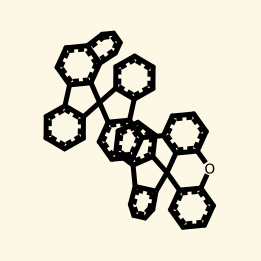 c1ccc2c(c1)Oc1cccc(-c3cccc4c3-c3ccccc3C43c4ccccc4-c4ccc5ccccc5c43)c1C21c2ccccc2-c2ccccc21